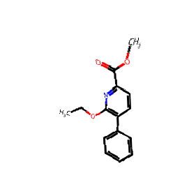 CCOc1nc(C(=O)OC)ccc1-c1ccccc1